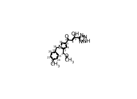 COCc1cc(C(=O)C=C(O)c2nn[nH]n2)cn1Cc1ccc(C)cc1